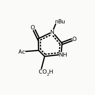 CCCCn1c(=O)[nH]c(C(=O)O)c(C(C)=O)c1=O